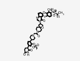 CCN(C)S(=O)(=O)Nc1ccc(F)c(Oc2ccc3ncn(C4COC5(CCN(C(=O)CN6CCC(c7ccc(C8CCC(=O)NC8=O)cc7OS(=O)(=O)F)CC6)CC5)C4)c(=O)c3c2)c1C#N